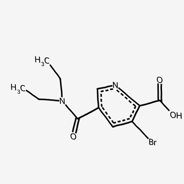 CCN(CC)C(=O)c1cnc(C(=O)O)c(Br)c1